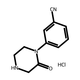 Cl.N#Cc1cccc(N2CCNCC2=O)c1